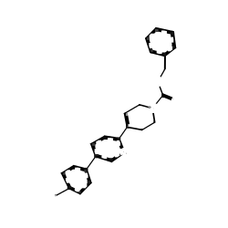 O=C(OCc1ccccc1)N1CC=C(c2ccc(-c3ccc(Cl)cc3)cn2)CC1